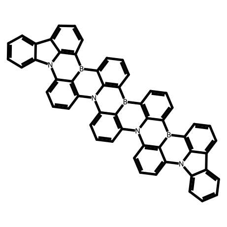 c1cc2c3c(c1)B1c4c(cccc4-n4c5ccccc5c5cccc1c54)N3c1cccc3c1B2c1cccc2c1N3c1cccc3c1B2c1cccc2c4ccccc4n-3c12